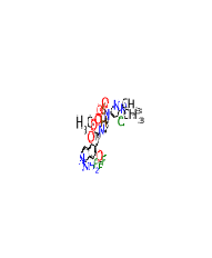 COC(=O)[C@@H](Cc1cc2ccnc(N)c2cc1OC(F)(F)F)N1CC[C@H](N(c2cnc(N(C)C)c(Cl)c2)[SH](=O)=O)C1=O